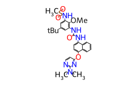 COc1c(NC(=O)Nc2ccc(Oc3ccnc(N(C)C)n3)c3ccccc23)cc(C(C)(C)C)cc1NS(C)(=O)=O